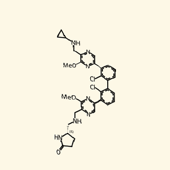 COc1nc(-c2cccc(-c3cccc(-c4cnc(CNC5CC5)c(OC)n4)c3Cl)c2Cl)cnc1CNC[C@@H]1CCC(=O)N1